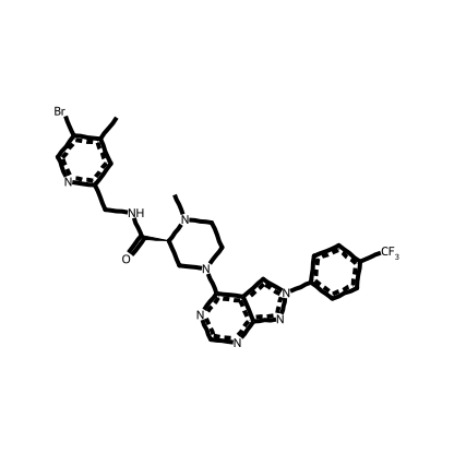 Cc1cc(CNC(=O)[C@@H]2CN(c3ncnc4nn(-c5ccc(C(F)(F)F)cc5)cc34)CCN2C)ncc1Br